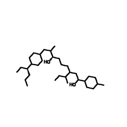 CCC[C@@H](CC)C1CCC(CC(C)[C@H](O)CCCC(CC(O)C2CCC(C)CC2)C(C)CC)CC1